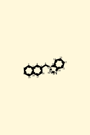 c1ccc2cc(Cn3nnc4ccccc43)ccc2c1